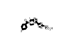 C[C@@H]1c2nnc(-c3nc(NC(=O)O)ns3)n2CCN1C(=O)c1ccc(F)cc1